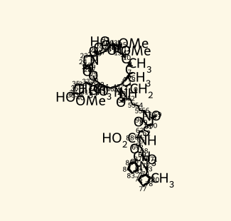 C=CC[C@@H]1/C=C(\C)C[C@H](C)C[C@H](OC)[C@H]2O[C@@](O)(C(=O)C(=O)N3CCCC[C@H]3C(=O)O[C@H](/C(C)=C/[C@@H]3CC[C@@H](O)[C@H](OC)C3)[C@H](C)[C@@H](O)C/C1=N/NC(=O)CCCCCN1C(=O)C=C(SCC(NC(=O)CCC(=O)N(Cc3ccccc3C)c3ccccc3C)C(=O)O)C1=O)[C@H](O)C[C@@H]2OC